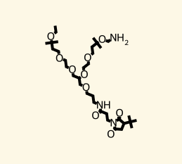 CCOC(C)(C)CCOCCOCC(COCCCNC(=O)CCN1C(=O)CC(C(C)(C)C)C1=O)OCCOCCC(C)(C)OCN